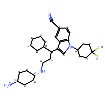 N#Cc1ccc2c(c1)c(C(CCN[C@H]1CC[C@H](N)CC1)C1CCCCC1)cn2C1CCC(F)(F)CC1